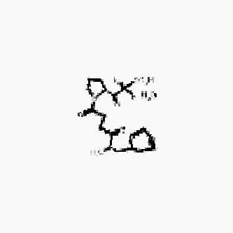 CN(Cc1ccccc1)C(=O)CCC(=O)N1CCC[C@H]1C(=O)C(F)(F)C(=O)O.O